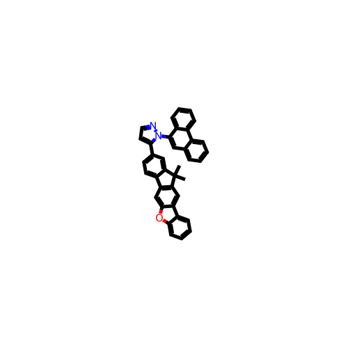 CC1(C)c2cc(-c3ccnn3-c3cc4ccccc4c4ccccc34)ccc2-c2cc3oc4ccccc4c3cc21